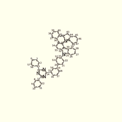 c1ccc(-c2nc(-c3ccccc3)nc(-c3cccc(-c4ccc(-n5c6ccccc6c6c5ccc5c7ccccc7c7cc8ccccc8n7c56)cc4)c3)n2)cc1